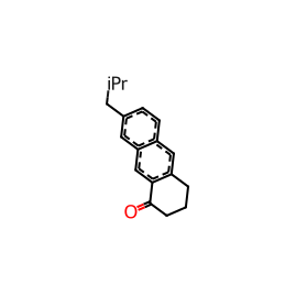 CC(C)Cc1ccc2cc3c(cc2c1)C(=O)CCC3